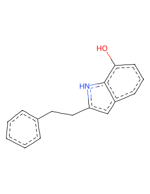 Oc1cccc2cc(CCc3ccccc3)[nH]c12